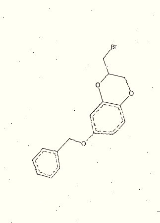 BrCC1COc2ccc(OCc3ccccc3)cc2O1